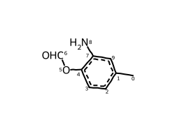 Cc1ccc(OC=O)c(N)c1